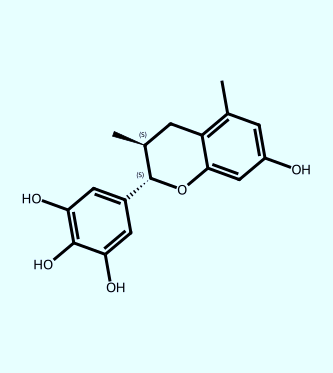 Cc1cc(O)cc2c1C[C@H](C)[C@@H](c1cc(O)c(O)c(O)c1)O2